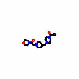 CCC(=O)N1CCN(CC2CCN(CC(=O)N3CCOCC3)CC2)CC1